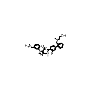 CN(CCO)Cc1ccccc1-c1ccc(C2CC(=O)c3c(ncn3-c3cccc(CN)c3)CN2)c(F)c1